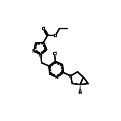 CCOC(=O)c1cnn(Cc2cnc(N3CC4C[C@H]4C3)cc2Cl)c1